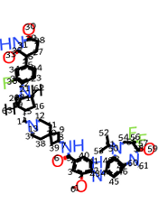 COc1cc(C(=O)NC2CC3(CCN(C[C@H]4C[C@@H]5C[C@H]4CN5c4ccc(C5CCC(=O)NC5=O)cc4F)CC3)C2)ccc1Nc1ccc2c(c1)N(C(C)C)CC(F)(F)C(=O)N2C